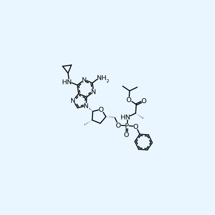 CC(C)OC(=O)[C@H](C)NP(=O)(OC[C@@H]1C[C@H](C)[C@H](n2cnc3c(NC4CC4)nc(N)nc32)O1)Oc1ccccc1